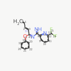 C=C/C=C/C(=N\C(=N)c1cccc(C(F)F)n1)Oc1ccccc1